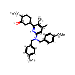 CCOC(=O)C1CCC(c2nc(N(Cc3ccc(OC)cc3)Cc3ccc(OC)cc3)cc(C)c2C(F)(F)F)CC1=O